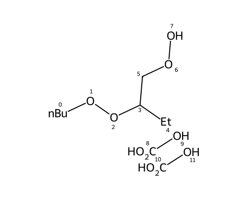 CCCCOOC(CC)COO.O=C(O)O.O=C(O)O